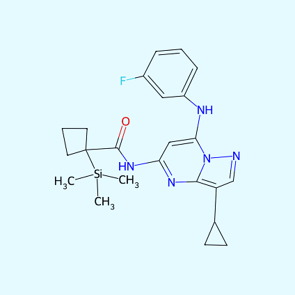 C[Si](C)(C)C1(C(=O)Nc2cc(Nc3cccc(F)c3)n3ncc(C4CC4)c3n2)CCC1